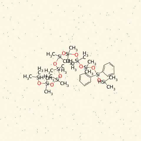 C[SiH](C)O[Si](C)(C)O[Si](C)(C)O[Si](C)(C)O[Si](C)(C)O[Si](C)(C)O[Si](C)(C)O[Si](C)(C)O[Si](O[SiH](C)C)(c1ccccc1)c1ccccc1